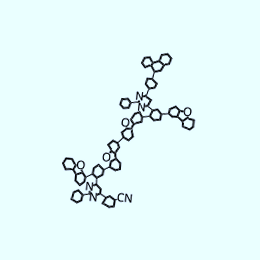 N#Cc1cccc(-c2cc(-c3cc(-c4cccc5c4oc4ccc(-c6ccc7c(c6)oc6ccc(-c8ccc(-c9ccc%10oc%11ccccc%11c%10c9)cc8-c8cc(-c9ccc(-c%10cc%11ccccc%11c%11ccccc%10%11)cc9)nc(-c9ccccc9)n8)cc67)cc45)ccc3-c3cccc4c3oc3ccccc34)nc(-c3ccccc3)n2)c1